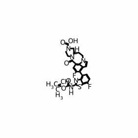 CC(C)(C)OC(=O)Nc1nc2c(-c3c(F)cc4c5c3ccn5CC[C@@H]3CN(C(=O)O)CCN3C4=O)ccc(F)c2s1